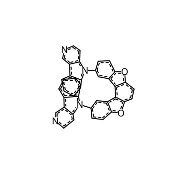 c1ccc2c(c1)c1cnccc1n2-c1ccc2oc3ccc4oc5ccc(-n6c7ccccc7c7cnccc76)cc5c4c3c2c1